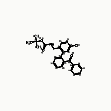 CC(C)(C)OC(=O)NCc1cnc(Cl)cc1-c1ccccc1C(=O)c1ccccc1